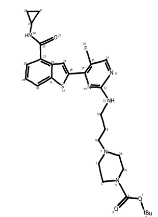 CC(C)(C)OC(=O)N1CCN(CCCNc2ncc(F)c(-c3cc4c(C(=O)NC5CC5)cccc4s3)n2)CC1